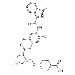 C[C@H]1C[C@@H](CO[C@H]2CC[C@H](C(=O)O)CC2)N(C(=O)Cc2cc(Cl)c(NC(=O)c3nn(C)c4ccccc34)cc2F)C1